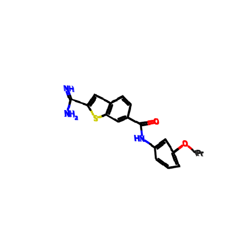 CC(C)Oc1cccc(NC(=O)c2ccc3cc(C(=N)N)sc3c2)c1